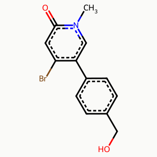 Cn1cc(-c2ccc(CO)cc2)c(Br)cc1=O